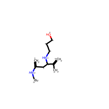 C=C(CC(NCCCO)C(=C)C)NC(C)CC